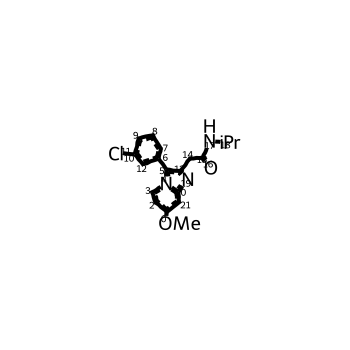 COc1ccn2c(-c3cccc(Cl)c3)c(CC(=O)NC(C)C)nc2c1